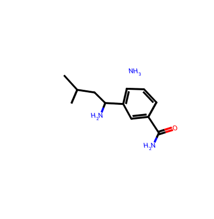 CC(C)CC(N)c1cccc(C(N)=O)c1.N